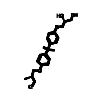 C[C@H](CCl)COc1ccc(C(C)(C)c2ccc(OC[C@H](O)CO)cc2)cc1